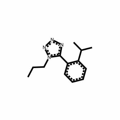 CCCn1nnnc1-c1ccccc1C(C)C